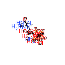 N.Nc1nc2c(ncn2[C@@H]2O[C@H](COP(=O)(O)OP(=O)(O)OP(=O)(O)OP(=O)(O)OP(=O)(O)O)[C@@H](O)[C@H]2O)c(=O)[nH]1